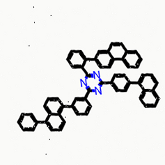 c1ccc(-c2cccc3c(-c4cccc(-c5nc(-c6ccc(-c7cccc8ccccc78)cc6)nc(-c6ccccc6-c6ccc7c(ccc8ccccc87)c6)n5)c4)cccc23)cc1